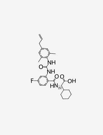 C=CCc1cc(C)c(NC(=O)Nc2cc(F)ccc2C(=O)N[C@H](C(=O)O)C2CCCCC2)c(C)c1